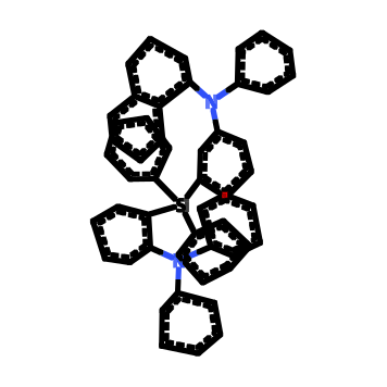 c1ccc(N(c2ccccc2)c2ccccc2[Si](c2ccccc2)(c2ccccc2)c2cccc(N(c3ccccc3)c3cccc4ccccc34)c2)cc1